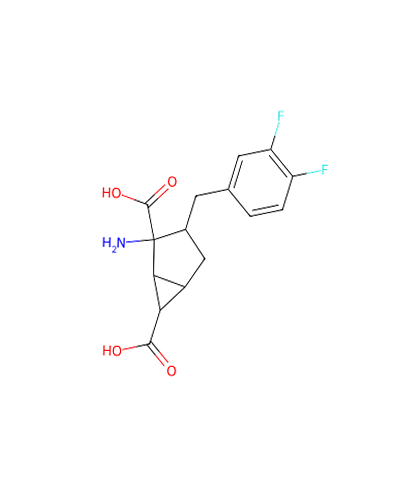 NC1(C(=O)O)C(Cc2ccc(F)c(F)c2)CC2C(C(=O)O)C21